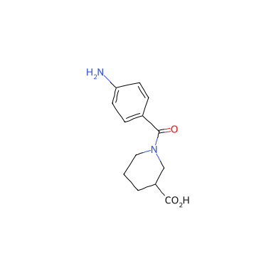 Nc1ccc(C(=O)N2CCCC(C(=O)O)C2)cc1